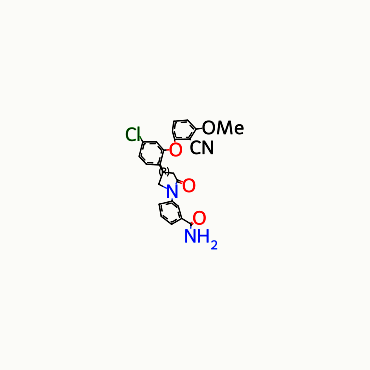 COc1cccc(Oc2cc(Cl)ccc2[C@H]2CC(=O)N(c3cccc(C(N)=O)c3)C2)c1C#N